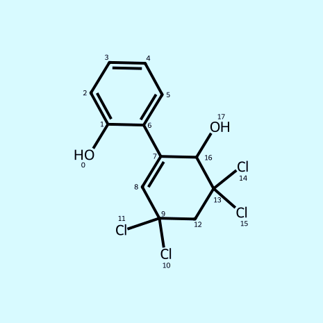 Oc1ccccc1C1=CC(Cl)(Cl)CC(Cl)(Cl)C1O